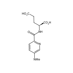 CNc1ccc(C(=O)N[C@@H](CCC(=O)O)C(=O)O)nc1